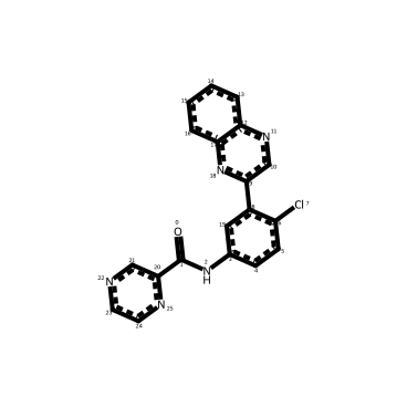 O=C(Nc1ccc(Cl)c(-c2cnc3ccccc3n2)c1)c1cnccn1